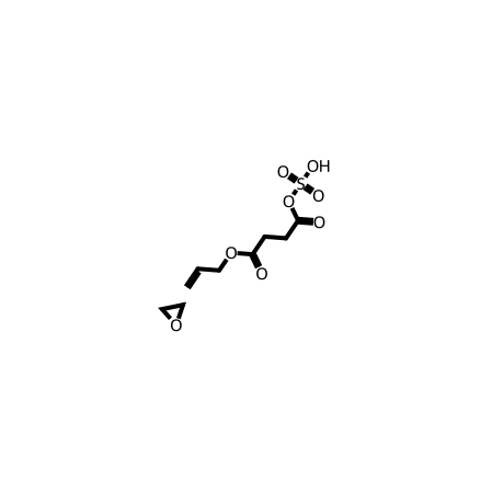 C1CO1.C=CCOC(=O)CCC(=O)OS(=O)(=O)O